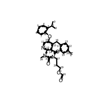 CC(C)c1ccccc1Oc1cnc2c(c1Cc1ccc(F)cc1)c(=O)n(CCCOC=O)c(=O)n2C